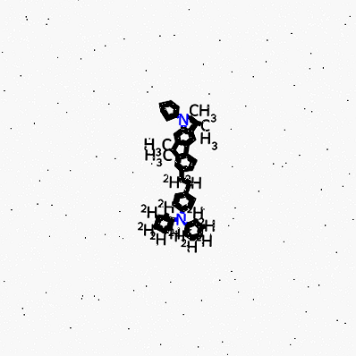 [2H]/C(=C(/[2H])c1ccc2c(c1)C(C)(C)c1cc3c(cc1-2)c(C)c(C)n3-c1ccccc1)c1ccc(N(c2c([2H])c([2H])c([2H])c([2H])c2[2H])c2c([2H])c([2H])c([2H])c([2H])c2[2H])cc1